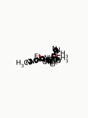 CCc1cc(Nc2ncc(Cl)c(Nc3ccc(-c4cncnc4C)cc3P(C)(C)=O)n2)c(OC)cc1N1CCC(N2CCN(C)CC2)CC1